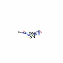 CNC(=O)NC1CN(Cc2ncc(-c3cccc(-c4cccc(-c5cnc(CNC[C@@H]6CCC(=O)N6)c(OC)n5)c4Cl)c3Cl)nc2OC)C1